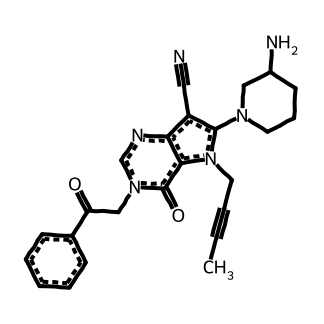 CC#CCn1c(N2CCCC(N)C2)c(C#N)c2ncn(CC(=O)c3ccccc3)c(=O)c21